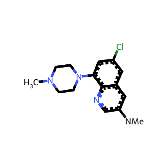 CNc1cnc2c(N3CCN(C)CC3)cc(Cl)cc2c1